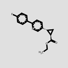 CCOC(=O)[C@@H]1C[C@H]1c1ccc(-c2ccc(F)cc2)nc1